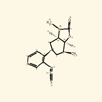 C[C@H]1C[C@@H](c2ccncc2N=C=S)C[C@@H]2[C@H]1OC(=O)N2C